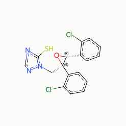 Sc1ncnn1C[C@]1(c2ccccc2Cl)O[C@@H]1c1ccccc1Cl